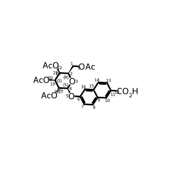 CC(=O)OC[C@H]1O[C@@H](Oc2ccc3cc(C(=O)O)ccc3c2)[C@H](OC(C)=O)[C@@H](OC(C)=O)[C@H]1OC(C)=O